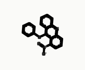 O=[N+]([O-])c1cccc2nc3ccccc3c(Oc3ccccc3)c12